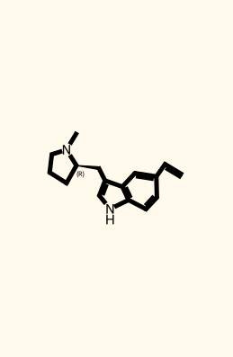 C=Cc1ccc2[nH]cc(C[C@H]3CCCN3C)c2c1